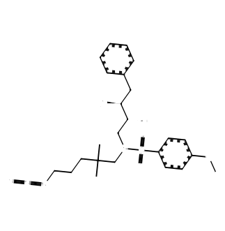 COc1ccc(S(=O)(=O)N(C[C@@H](O)[C@@H](N)Cc2ccccc2)CC(C)(C)CCCN=[N+]=[N-])cc1